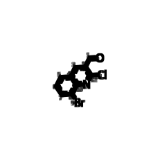 O=Cc1cc2cccc(Br)c2nc1Cl